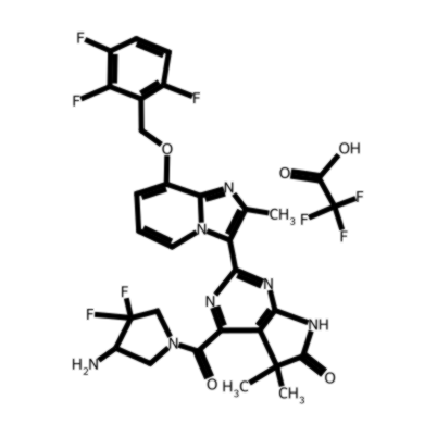 Cc1nc2c(OCc3c(F)ccc(F)c3F)cccn2c1-c1nc2c(c(C(=O)N3CC(N)C(F)(F)C3)n1)C(C)(C)C(=O)N2.O=C(O)C(F)(F)F